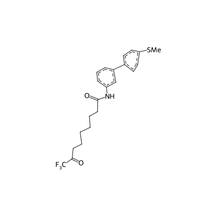 CSc1ccc(-c2cccc(NC(=O)CCCCCCC(=O)C(F)(F)F)c2)cc1